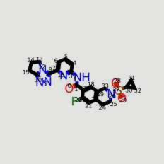 O=C(Nc1cccc(-c2nnc3n2CCC3)n1)c1cc2c(cc1F)CCN(S(=O)(=O)C1CC1)C2